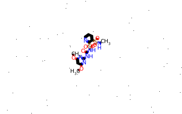 CNS(=O)(=O)c1cccnc1S(=O)(=O)NC(=O)Nc1nc(OC)cc(OC)n1